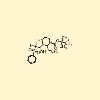 CC[C@H]1[C@@H]([C@H](O)C(F)(F)S(=O)(=O)c2ccccc2)NCCN1C(=O)OC(C)(C)C